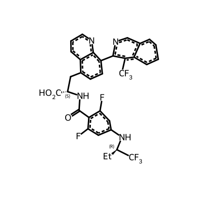 CC[C@@H](Nc1cc(F)c(C(=O)N[C@@H](Cc2ccc(-c3ncc4ccccc4c3C(F)(F)F)c3ncccc23)C(=O)O)c(F)c1)C(F)(F)F